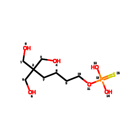 OCC(CO)(CO)CCCCOP(O)(O)=S